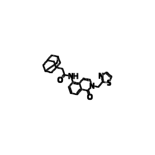 O=C(CC12CC3CC(CC(C3)C1)C2)Nc1cccc2c(=O)n(Cc3nccs3)ccc12